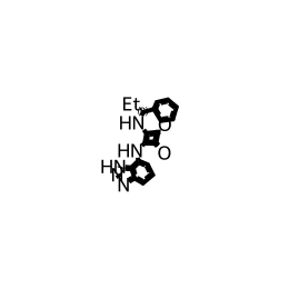 CC[C@@H](Nc1c(Nc2cccc3nn[nH]c23)c(=O)c1=O)c1ccccc1